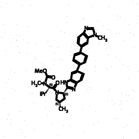 COC(=O)N(C)[C@H](C(=O)N1C[C@@H](C)C[C@H]1c1nc2ccc(-c3ccc(-c4ccc5ncn(C)c5c4)cc3)cc2[nH]1)C(C)C